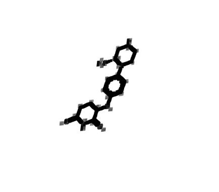 C[C@@H]1CNCCN1c1ccc(OC2CCC(=O)NC2=O)cc1